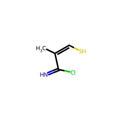 C/C(=C/S)C(=N)Cl